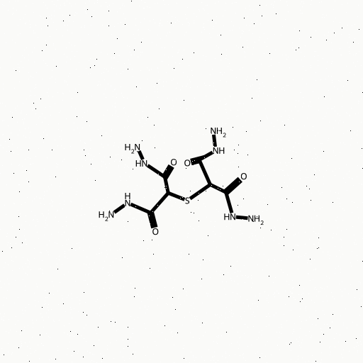 NNC(=O)C(SC(C(=O)NN)C(=O)NN)C(=O)NN